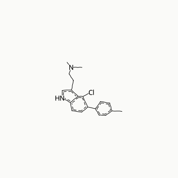 Cc1ccc(-c2ccc3[nH]cc(CCN(C)C)c3c2Cl)cc1